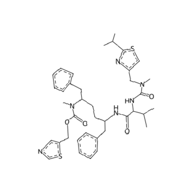 CC(C)c1nc(CN(C)C(=O)NC(C(=O)NC(CCC(Cc2ccccc2)N(C)C(=O)OCc2cncs2)Cc2ccccc2)C(C)C)cs1